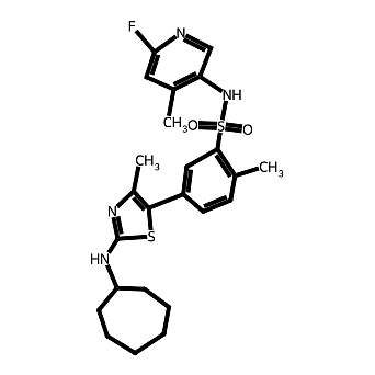 Cc1cc(F)ncc1NS(=O)(=O)c1cc(-c2sc(NC3CCCCCC3)nc2C)ccc1C